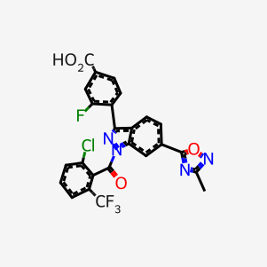 Cc1noc(-c2ccc3c(-c4ccc(C(=O)O)cc4F)nn(C(=O)c4c(Cl)cccc4C(F)(F)F)c3c2)n1